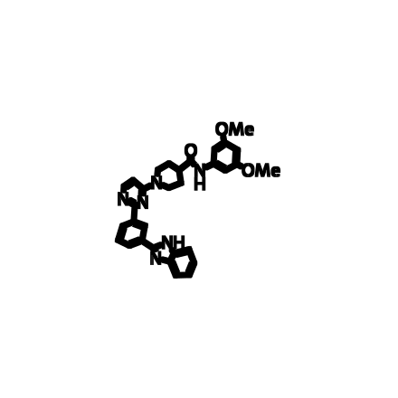 COc1cc(NC(=O)C2CCN(c3ccnc(-c4cccc(-c5nc6ccccc6[nH]5)c4)n3)CC2)cc(OC)c1